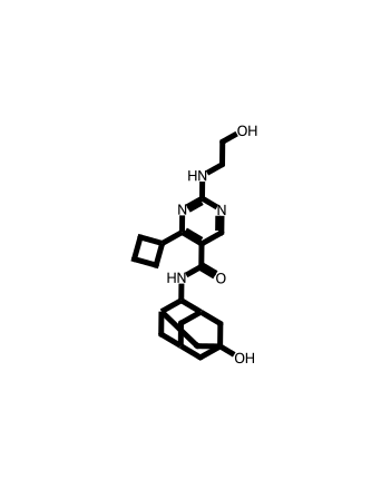 O=C(NC1C2CC3CC1CC(O)(C3)C2)c1cnc(NCCO)nc1C1CCC1